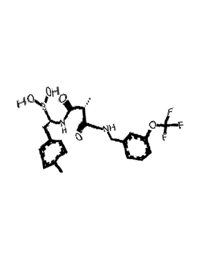 Cc1ccc(C[C@H](NC(=O)[C@H](C)C(=O)NCc2cccc(OC(F)(F)F)c2)B(O)O)cc1